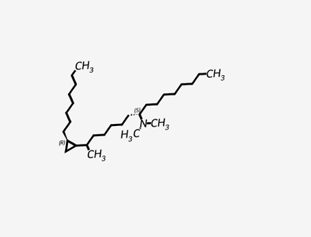 CCCCCCCC[C@@H]1CC1C(C)CCCCC[C@H](CCCCCCCC)N(C)C